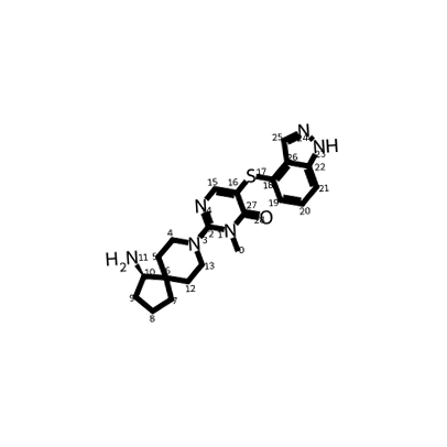 Cn1c(N2CCC3(CCC[C@H]3N)CC2)ncc(Sc2cccc3[nH]ncc23)c1=O